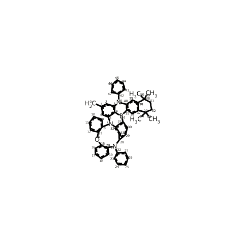 Cc1cc2c3c(c1)N1c4ccccc4Oc4ccccc4N(c4ccccc4)c4ccc(c1c4)B3c1cc3c(cc1N2c1ccccc1)C(C)(C)CCC3(C)C